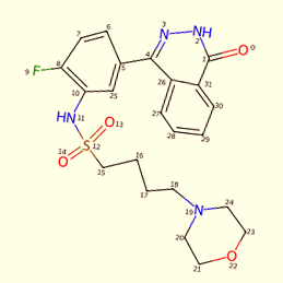 O=c1[nH]nc(-c2ccc(F)c(NS(=O)(=O)CCCCN3CCOCC3)c2)c2ccccc12